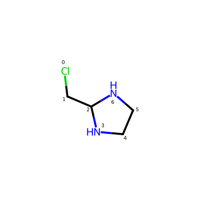 ClCC1NCCN1